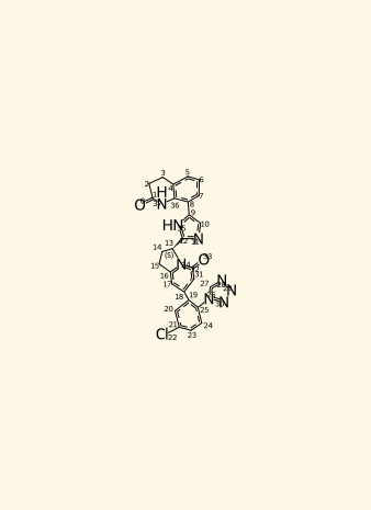 O=C1CCc2cccc(-c3cnc([C@@H]4CCc5cc(-c6cc(Cl)ccc6-n6cnnn6)cc(=O)n54)[nH]3)c2N1